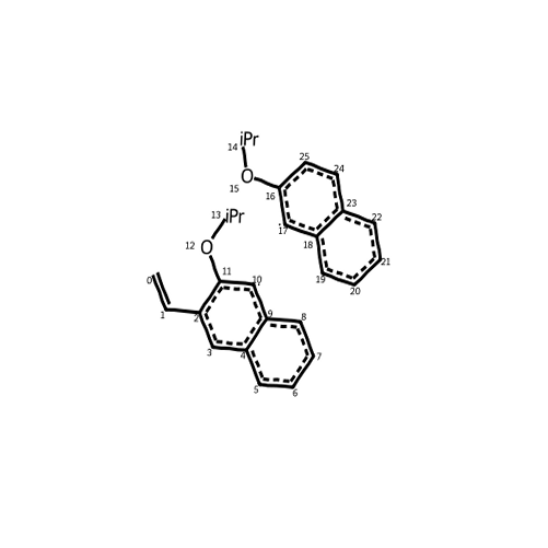 C=Cc1cc2ccccc2[c]c1OC(C)C.CC(C)Oc1[c]c2ccccc2cc1